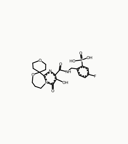 O=C(NCc1ccc(F)cc1P(=O)(O)O)c1nc2n(c(=O)c1O)CCCOC21CCOCC1